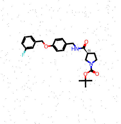 CC(C)(C)OC(=O)N1CC[C@H](C(=O)NCc2ccc(OCc3cccc(F)c3)cc2)C1